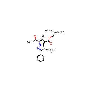 CCCCCCCCC(CCCCCC)COC(=O)c1c(C#N)c(C(=O)NC)n2c1C(C(=O)OCC)C(c1ccccc1)=N2